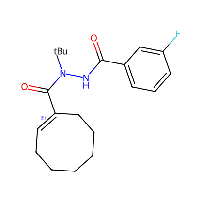 CC(C)(C)N(NC(=O)c1cccc(F)c1)C(=O)/C1=C/CCCCCC1